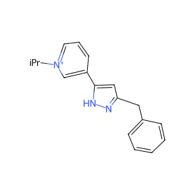 CC(C)[n+]1cccc(-c2cc(Cc3ccccc3)n[nH]2)c1